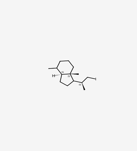 CC1CCC[C@]2(C)C([C@H](C)CI)CC[C@@H]12